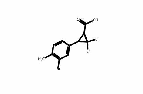 Cc1ccc(C2C(C(=O)O)C2(Cl)Cl)cc1Br